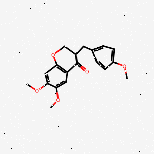 COc1ccc(CC2COc3cc(OC)c(OC)cc3C2=O)cc1